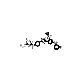 CC(C)OC(=O)NC1CCC(c2ncc(-c3ccc(Nc4cccc(F)c4)cc3S(=O)(=O)C3CC3)s2)CC1